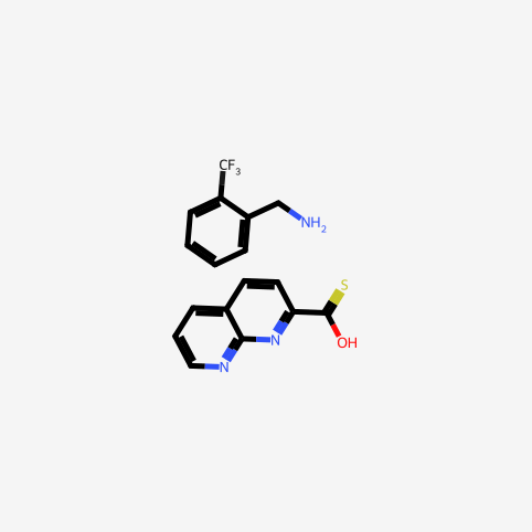 NCc1ccccc1C(F)(F)F.OC(=S)c1ccc2cccnc2n1